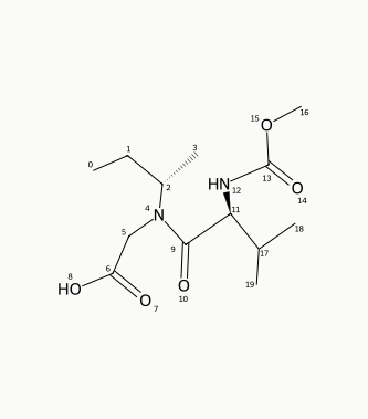 CC[C@H](C)N(CC(=O)O)C(=O)[C@@H](NC(=O)OC)C(C)C